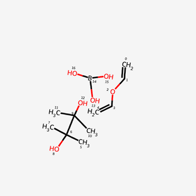 C=COC=C.CC(C)(O)C(C)(C)O.OB(O)O